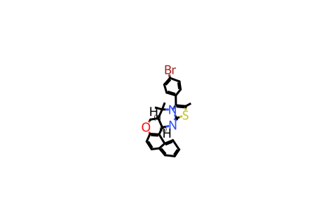 CC1=C(c2ccc(Br)cc2)N2C(=N[C@@H]3c4c(ccc5ccccc45)OC[C@@H]3C2(C)C)S1